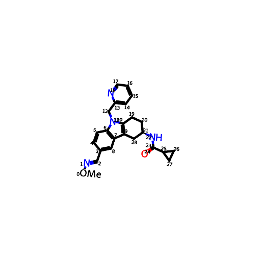 CO/N=C/c1ccc2c(c1)c1c(n2Cc2ccccn2)CC[C@@H](NC(=O)C2CC2)C1